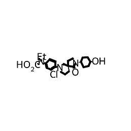 CCN(C(=O)O)c1ccc(N2CCC[C@]3(CCN([C@H]4CC[C@H](O)CC4)C3=O)C2)c(Cl)c1